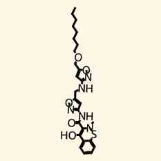 CCCCCCCCOCc1cc(NCc2cc(NC(=O)C3=C(O)c4ccccc4SN3C)no2)no1